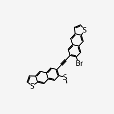 CSc1cc2cc3sccc3cc2cc1C#Cc1cc2cc3ccsc3cc2cc1Br